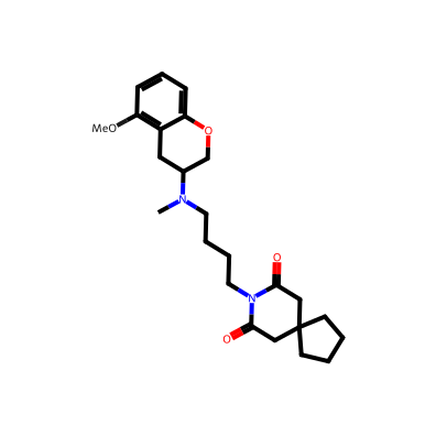 COc1cccc2c1CC(N(C)CCCCN1C(=O)CC3(CCCC3)CC1=O)CO2